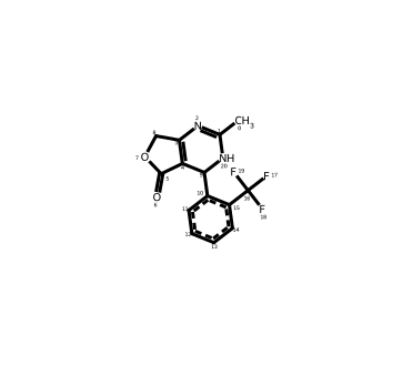 CC1=NC2=C(C(=O)OC2)C(c2ccccc2C(F)(F)F)N1